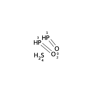 O=P.O=P.S